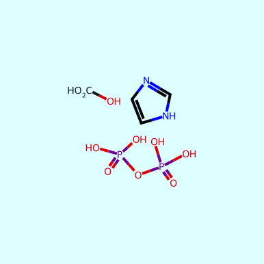 O=C(O)O.O=P(O)(O)OP(=O)(O)O.c1c[nH]cn1